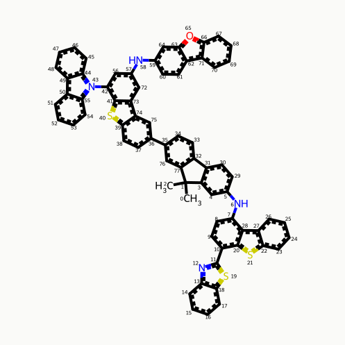 CC1(C)c2cc(Nc3ccc(-c4nc5ccccc5s4)c4sc5ccccc5c34)ccc2-c2ccc(-c3ccc4sc5c(-n6c7ccccc7c7ccccc76)cc(Nc6ccc7c(c6)oc6ccccc67)cc5c4c3)cc21